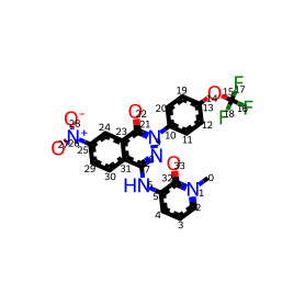 Cn1cccc(Nc2nn(-c3ccc(OC(F)(F)F)cc3)c(=O)c3cc([N+](=O)[O-])ccc23)c1=O